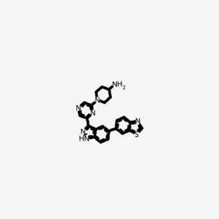 NC1CCN(c2cncc(-c3n[nH]c4ccc(-c5ccc6ncsc6c5)cc34)n2)CC1